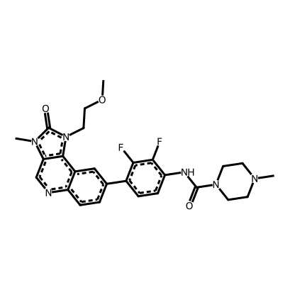 COCCn1c(=O)n(C)c2cnc3ccc(-c4ccc(NC(=O)N5CCN(C)CC5)c(F)c4F)cc3c21